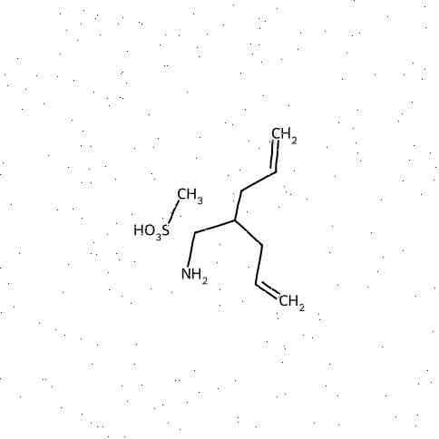 C=CCC(CN)CC=C.CS(=O)(=O)O